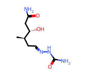 C[C@H](C/C=N/NC(N)=O)[C@@H](O)CC(N)=O